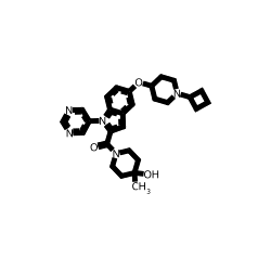 CC1(O)CCN(C(=O)c2cc3cc(OC4CCN(C5CCC5)CC4)ccc3n2-c2cncnc2)CC1